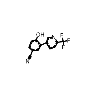 N#Cc1ccc(O)c(-c2ccc(C(F)(F)F)nc2)c1